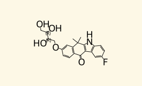 CC1(C)c2cc(OC[C@@H](O)[C@H](O)CO)ccc2C(=O)c2c1[nH]c1ccc(F)cc21